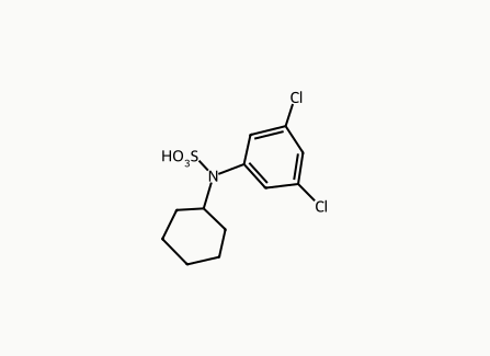 O=S(=O)(O)N(c1cc(Cl)cc(Cl)c1)C1CCCCC1